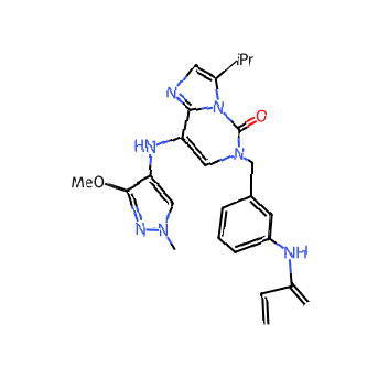 C=CC(=C)Nc1cccc(Cn2cc(Nc3cn(C)nc3OC)c3ncc(C(C)C)n3c2=O)c1